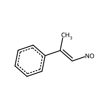 C/C(=C\N=O)c1ccccc1